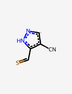 N#Cc1[c]n[nH]c1C=S